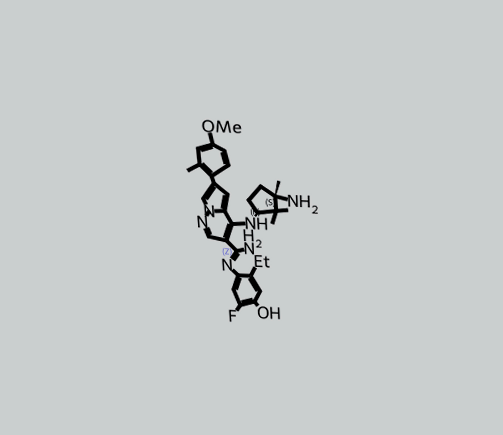 CCc1cc(O)c(F)cc1/N=C(\N)c1cnn2cc(-c3ccc(OC)cc3C)cc2c1N[C@@H]1CC[C@](C)(N)C1(C)C